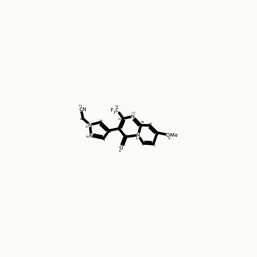 COc1ccn2c(=O)c(-c3cnn(CC#N)c3)c(C(F)(F)F)nc2c1